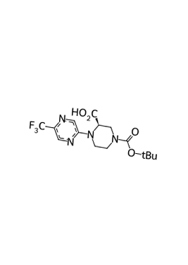 CC(C)(C)OC(=O)N1CCN(c2cnc(C(F)(F)F)cn2)[C@@H](C(=O)O)C1